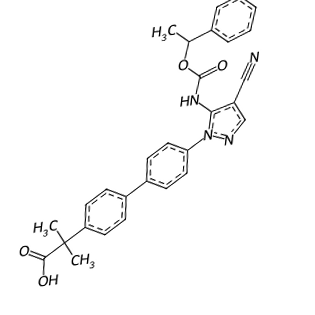 CC(OC(=O)Nc1c(C#N)cnn1-c1ccc(-c2ccc(C(C)(C)C(=O)O)cc2)cc1)c1ccccc1